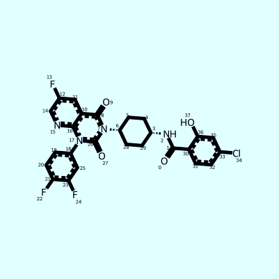 O=C(N[C@H]1CC[C@@H](n2c(=O)c3cc(F)cnc3n(-c3ccc(F)c(F)c3)c2=O)CC1)c1ccc(Cl)cc1O